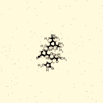 BC(B)(P)c1cc(C(=C)Nc2ncc(C#N)cc2C(=O)N[C@@H](C[C@@H]2CC(C)NC2=O)C(O)C(=O)NC)cc(C(B)(P)P)c1